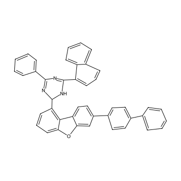 c1ccc(C2=NC(c3cccc4oc5cc(-c6ccc(-c7ccccc7)cc6)ccc5c34)NC(c3cccc4ccccc34)=N2)cc1